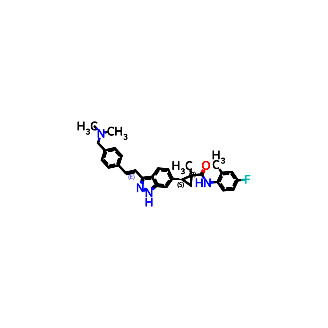 Cc1cc(F)ccc1NC(=O)[C@]1(C)C[C@H]1c1ccc2c(/C=C/c3ccc(CN(C)C)cc3)n[nH]c2c1